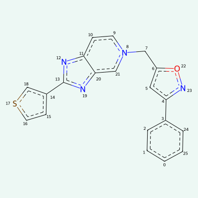 c1ccc(-c2cc(Cn3ccc4nc(-c5ccsc5)nc-4c3)on2)cc1